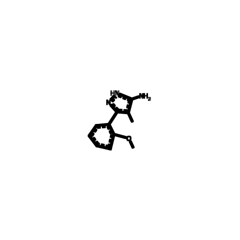 COc1ccccc1-c1n[nH]c(N)c1C